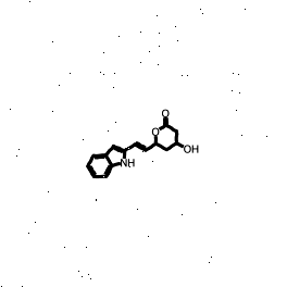 O=C1CC(O)CC(C=Cc2cc3ccccc3[nH]2)O1